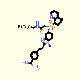 CCOC(=O)CNC(=O)CN(c1ccc2c(c1)nc(CCc1ccc(C(=N)N)cc1)n2C)S(=O)(=O)c1cccc2cccnc12